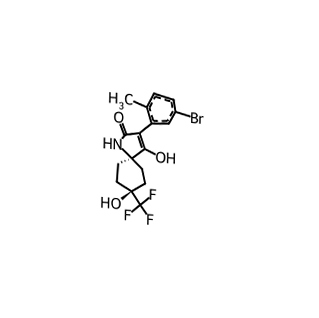 Cc1ccc(Br)cc1C1=C(O)[C@]2(CC[C@@](O)(C(F)(F)F)CC2)NC1=O